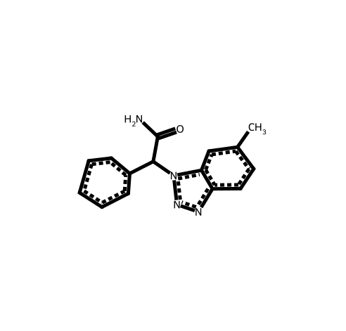 Cc1ccc2nnn(C(C(N)=O)c3ccccc3)c2c1